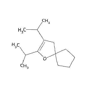 CC(C)C1=C(C(C)C)OC2(CCCC2)C1